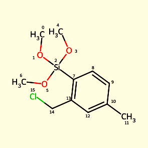 CO[Si](OC)(OC)c1ccc(C)cc1CCl